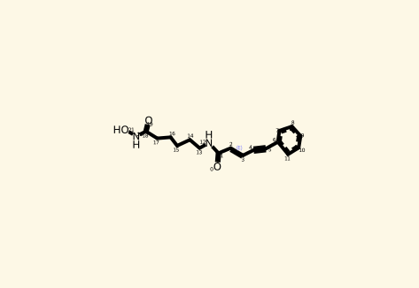 O=C(/C=C/C#Cc1ccccc1)NCCCCCC(=O)NO